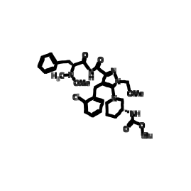 COCn1nc(C(=O)NC(=O)[C@H](Cc2ccccc2)N(C)OC)c(Cc2ccccc2Cl)c1N1CCC[C@@H](NC(=O)OC(C)(C)C)C1